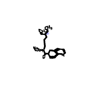 C=C/C(=C\C)CCCN(CC)C(=O)C1C=Cc2ncccc2C1